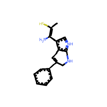 C/C(S)=C(/N)c1c[nH]c2c1C=C(c1ccccc1)CN2